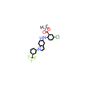 COC(=O)c1cc(Cl)ccc1Nc1ccc2c(ccn2-c2cccc(C(F)(F)F)c2)c1